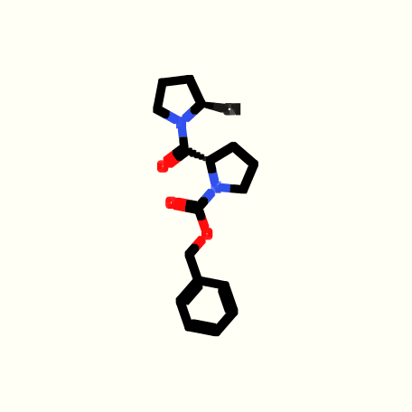 N#C[C@@H]1CCCN1C(=O)[C@@H]1CCCN1C(=O)OCc1ccccc1